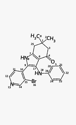 CC1(C)CC(=O)c2c([nH]c(-c3ccncc3Br)c2Nc2ccccc2)C1